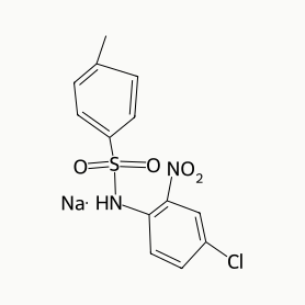 Cc1ccc(S(=O)(=O)Nc2ccc(Cl)cc2[N+](=O)[O-])cc1.[Na]